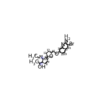 C=C/N=C1\C(=C(/C)O)C=CN1C1CCC(COc2ccc3cc(Br)c(N)nc3c2)O1